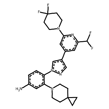 Nc1ccc(-n2cc(-c3cc(C(F)F)nc(N4CCC(F)(F)CC4)c3)cn2)c(N2CCC3(CC2)CC3)c1